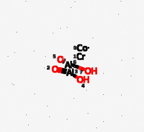 [Co].[Cr].[O]=[Al][OH].[O]=[Al][OH]